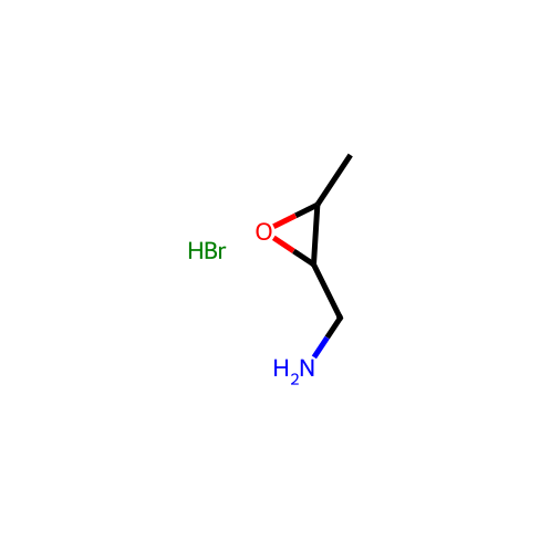 Br.CC1OC1CN